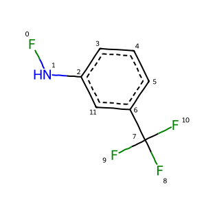 FNc1cccc(C(F)(F)F)c1